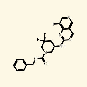 O=C(OCc1ccccc1)N1CC(Nc2ncc3cncc(I)c3n2)CC(F)(F)C1